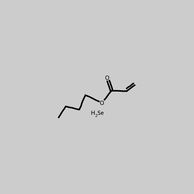 C=CC(=O)OCCCC.[SeH2]